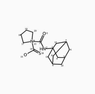 O=C(NC12CC3CC(CC(C3)C1)C2)[N+]1(C([O-])=S)CCCC1